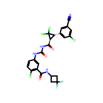 N#Cc1cc(Cl)cc([C@@H]2[C@@H](C(=O)NC(=O)Nc3ccc(Cl)c(C(=O)NC4CC(F)(F)C4)c3)C2(Cl)Cl)c1